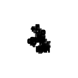 CCS(=O)(=O)O.COCC1Cn2cc(-c3nc(Nc4ccnn4C)ncc3C)nc2C(=O)N1Cc1ccc(F)c(F)c1